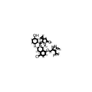 C[C@H]1CC[C@@H](O)C[C@H]1C(=O)N1CCc2c(Cl)ccc(OCc3nnn(C)c3C(F)F)c2[C@H]1CN1CC2(CC2)CC1=O